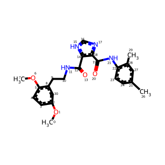 COc1ccc(OC)c(CCNC(=O)c2[nH]cnc2C(=O)Nc2ccc(C)cc2C)c1